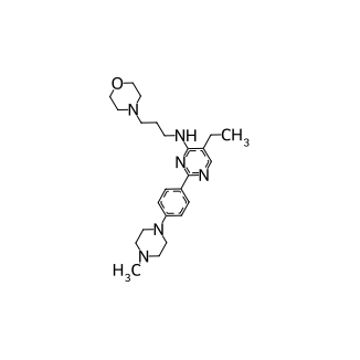 CCc1cnc(-c2ccc(N3CCN(C)CC3)cc2)nc1NCCCN1CCOCC1